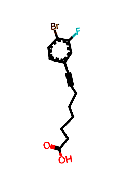 O=C(O)CCCCCC#Cc1ccc(Br)c(F)c1